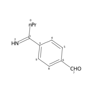 CCCC(=N)c1ccc(C=O)cc1